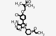 C=CC(=O)N1CCCC(n2nc(-c3ccc(OCC4=C(C)S4(C)N=O)c(Cl)c3)c3c(N)ncnc32)C1